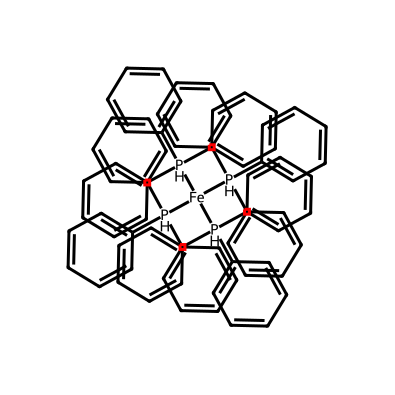 c1ccc([PH](c2ccccc2)(c2ccccc2)[Fe]([PH](c2ccccc2)(c2ccccc2)c2ccccc2)([PH](c2ccccc2)(c2ccccc2)c2ccccc2)[PH](c2ccccc2)(c2ccccc2)c2ccccc2)cc1